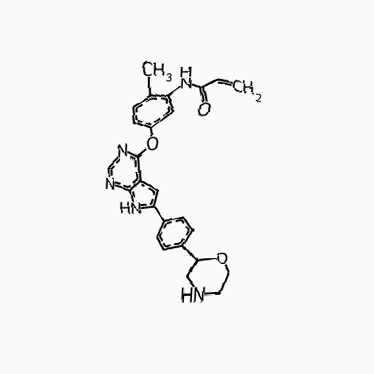 C=CC(=O)Nc1cc(Oc2ncnc3[nH]c(-c4ccc(C5CNCCO5)cc4)cc23)ccc1C